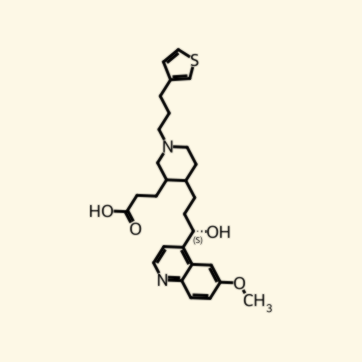 COc1ccc2nccc([C@@H](O)CCC3CCN(CCCc4ccsc4)CC3CCC(=O)O)c2c1